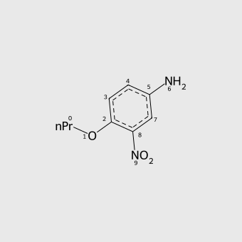 CCCOc1ccc(N)cc1[N+](=O)[O-]